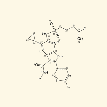 CNC(=O)c1c(-c2ccc(C)cc2)oc2nc(NS(=O)(=O)CCCC(C)O)c(C3CC3)cc12